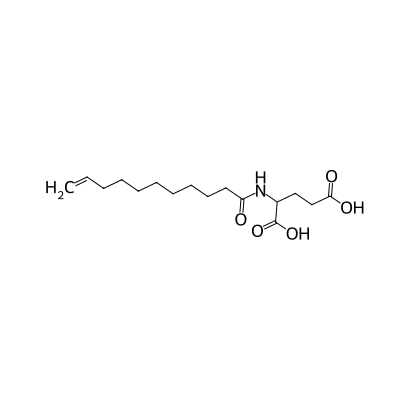 C=CCCCCCCCCC(=O)NC(CCC(=O)O)C(=O)O